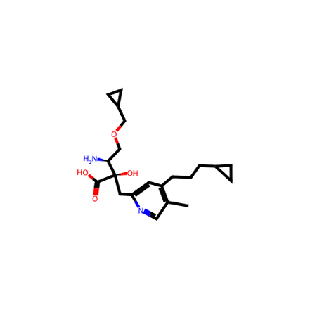 Cc1cnc(C[C@](O)(C(=O)O)[C@@H](N)COCC2CC2)cc1CCCC1CC1